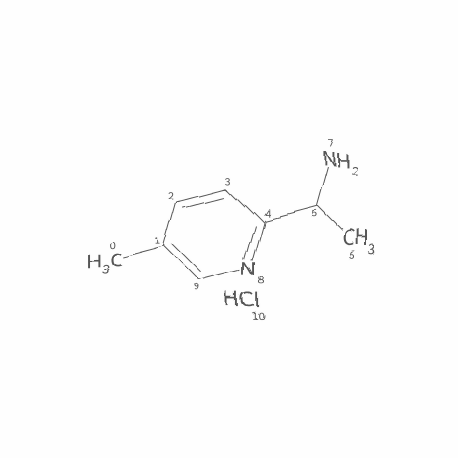 Cc1ccc(C(C)N)nc1.Cl